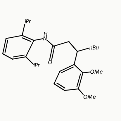 CCCCC(CC(=O)Nc1c(C(C)C)cccc1C(C)C)c1cccc(OC)c1OC